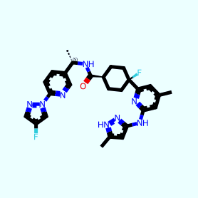 Cc1cc(Nc2cc(C)[nH]n2)nc([C@]2(F)CC[C@@H](C(=O)N[C@@H](C)c3ccc(-n4cc(F)cn4)nc3)CC2)c1